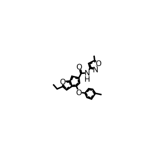 CCc1cc2c(Oc3ccc(C)cc3)cc(C(=O)Nc3cc(C)on3)cc2o1